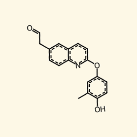 Cc1cc(Oc2ccc3cc(CC=O)ccc3n2)ccc1O